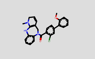 COc1ccccc1-c1ccc(C(=O)N2CC3=C(Nc4ccccc42)N(C)CC=C3)c(Cl)c1